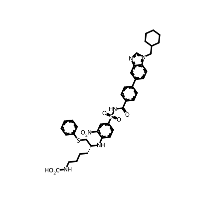 O=C(O)NCCCC[C@H](CSc1ccccc1)Nc1ccc(S(=O)(=O)NC(=O)c2ccc(-c3ccc4c(c3)ncn4CC3CCCCC3)cc2)cc1[N+](=O)[O-]